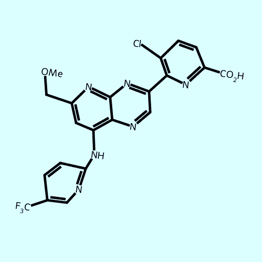 COCc1cc(Nc2ccc(C(F)(F)F)cn2)c2ncc(-c3nc(C(=O)O)ccc3Cl)nc2n1